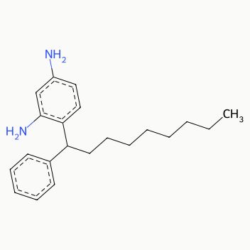 CCCCCCCCC(c1ccccc1)c1ccc(N)cc1N